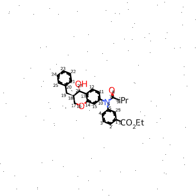 CCOC(=O)c1cccc(N(C(=O)C(C)C)c2ccc3c(c2)OC[C@@H](Cc2ccccc2)[C@@H]3O)c1